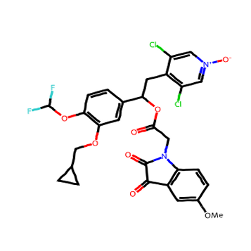 COc1ccc2c(c1)C(=O)C(=O)N2CC(=O)OC(Cc1c(Cl)c[n+]([O-])cc1Cl)c1ccc(OC(F)F)c(OCC2CC2)c1